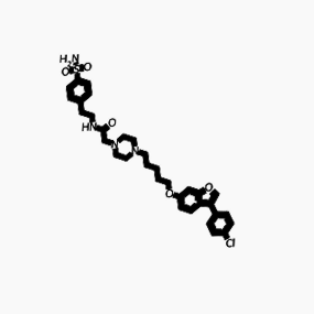 NS(=O)(=O)c1ccc(CCNC(=O)CN2CCN(CCCCCOc3ccc4c(-c5ccc(Cl)cc5)coc4c3)CC2)cc1